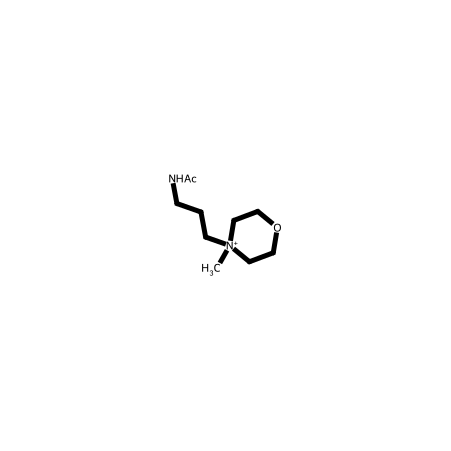 [CH2]C(=O)NCCC[N+]1(C)CCOCC1